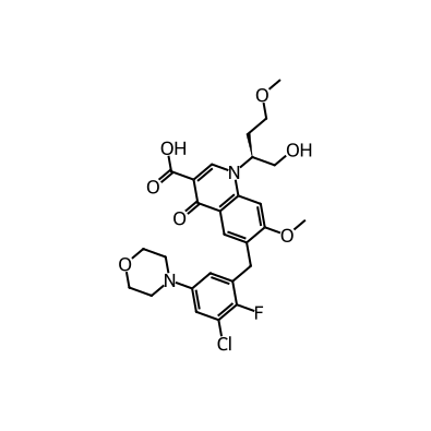 COCC[C@@H](CO)n1cc(C(=O)O)c(=O)c2cc(Cc3cc(N4CCOCC4)cc(Cl)c3F)c(OC)cc21